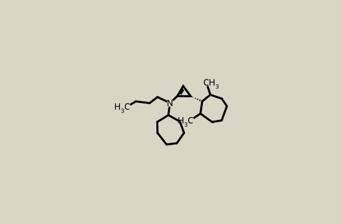 CCCCN(C1=C[C@@H]1C1C(C)CCCCC1C)C1CCCCCC1